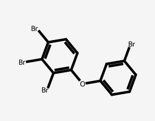 Brc1cccc(Oc2ccc(Br)c(Br)c2Br)c1